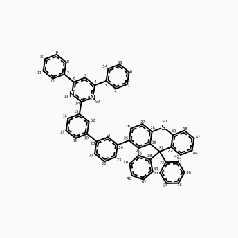 c1ccc(-c2cc(-c3ccccc3)nc(-c3cccc(-c4cccc(-c5ccc6c(c5)C(c5ccccc5)(c5ccccc5)c5ccccc5S6)c4)c3)n2)cc1